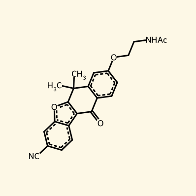 CC(=O)NCCOc1ccc2c(c1)C(C)(C)c1oc3cc(C#N)ccc3c1C2=O